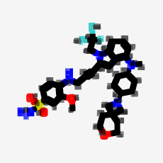 COc1cc(S(N)(=O)=O)ccc1NCC#Cc1cc2c(N(C)[C@H]3CC[C@@H](N4CC5(CCOCC5)C4)CC3)cccc2n1CC(F)(F)F